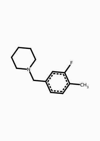 Cc1ccc(CN2CCCCC2)cc1F